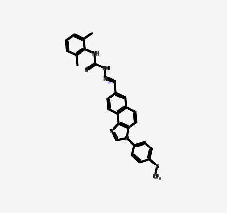 Cc1cccc(C)c1NC(=S)N/N=C/c1ccc2c(ccc3c2ncn3-c2ccc(SC(F)(F)F)cc2)c1